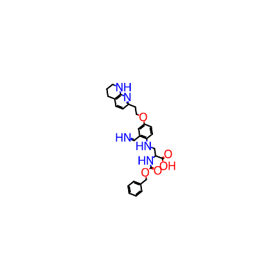 N=Cc1cc(OCCc2ccc3c(n2)NCCC3)ccc1NCC(NC(=O)OCc1ccccc1)C(=O)O